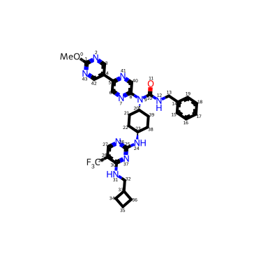 COc1ncc(-c2cnc(N(C(=O)NCc3ccccc3)[C@H]3CC[C@H](Nc4ncc(C(F)(F)F)c(NCC5CCC5)n4)CC3)cn2)cn1